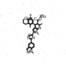 Cc1nc2c(cc(-c3nc(-c4ccc5c(cnn5C)c4)no3)n2C)c(-c2cc(F)c3c(c2C)CCCO3)c1[C@H](OC(C)(C)C)C(=O)O